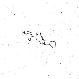 COC(=O)[C@@H](N)Cc1cn(Cc2ccccc2)cn1